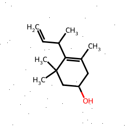 C=CC(C)C1=C(C)CC(O)CC1(C)C